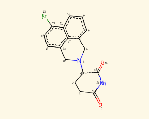 O=C1CCC(N2Cc3cccc4c(Br)ccc(c34)C2)C(=O)N1